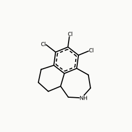 Clc1c(Cl)c2c3c(c1Cl)CCNCC3CCC2